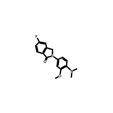 COc1cc(N2Cc3cc(F)ccc3C2=O)ccc1N(C)C